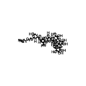 C#CCC(NC(=O)OCCOCCN=[N+]=[N-])C(=O)Nc1ccc(O[C@@H]2OC(CO)[C@H](O[C@H]3OC(CO)[C@H](O[C@H]4OC(CO)[C@@H](O[C@H]5OC(CO)[C@@H](O)C(O)C5O)C(O)C4O)C(O)C3O)C(O)C2O)c(C(F)F)c1